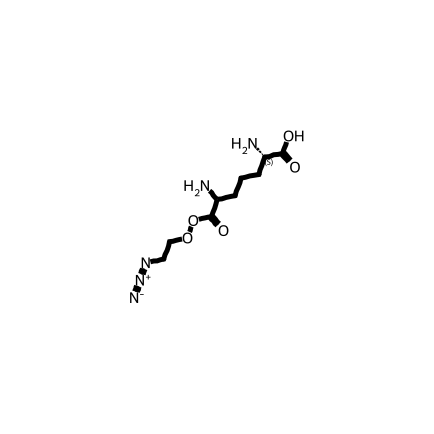 [N-]=[N+]=NCCOOC(=O)C(N)CCC[C@H](N)C(=O)O